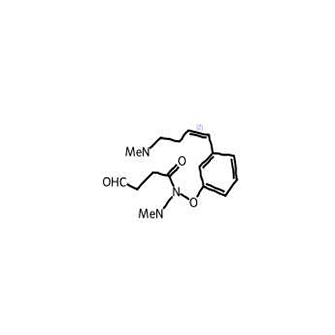 CNCC/C=C\c1cccc(ON(NC)C(=O)CCC=O)c1